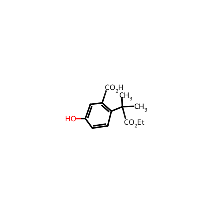 CCOC(=O)C(C)(C)c1ccc(O)cc1C(=O)O